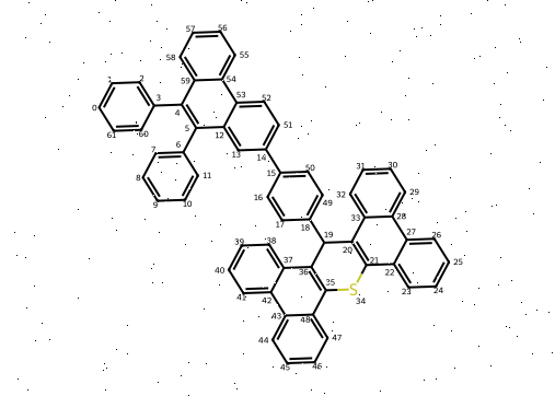 c1ccc(-c2c(-c3ccccc3)c3cc(-c4ccc(C5c6c(c7ccccc7c7ccccc67)Sc6c5c5ccccc5c5ccccc65)cc4)ccc3c3ccccc23)cc1